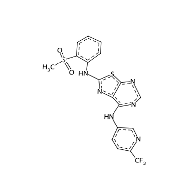 CS(=O)(=O)c1ccccc1Nc1nc2c(Nc3ccc(C(F)(F)F)nc3)ncnc2s1